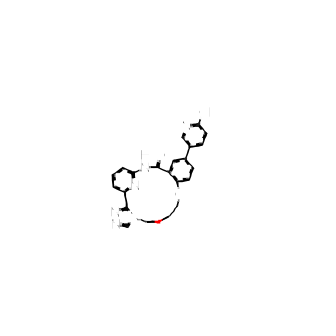 Cc1ccc(-c2ccc3c(c2)C(=O)Nc2cccc(n2)-c2nncn2C2CC(CO3)C2)cn1